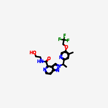 Cc1cc(C(C)n2cc3c(C(=O)NCCO)nccc3n2)ncc1OCC(F)(F)F